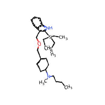 CCCCN(C)C1CCC(COCc2c([Si](CC)(CC)CC)[nH]c3ccccc23)CC1